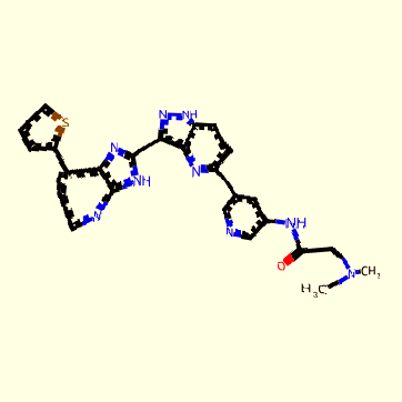 CN(C)CC(=O)Nc1cncc(-c2ccc3[nH]nc(-c4nc5c(-c6cccs6)ccnc5[nH]4)c3n2)c1